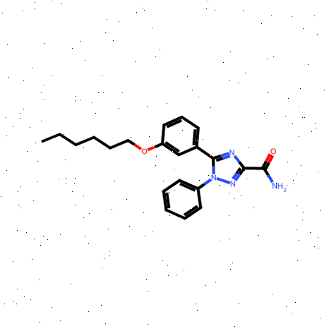 CCCCCCOc1cccc(-c2nc(C(N)=O)nn2-c2ccccc2)c1